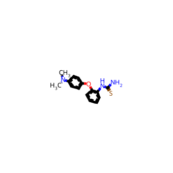 CN(C)c1ccc(Oc2ccccc2NC(N)=S)cc1